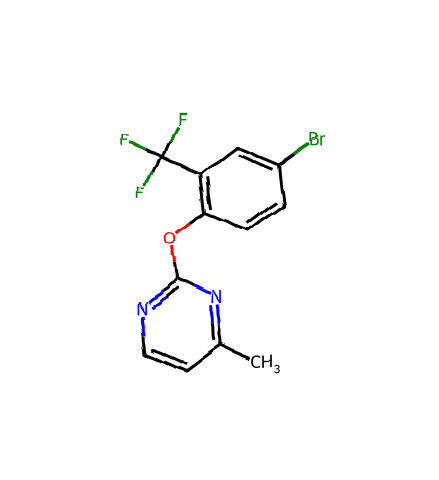 Cc1ccnc(Oc2ccc(Br)cc2C(F)(F)F)n1